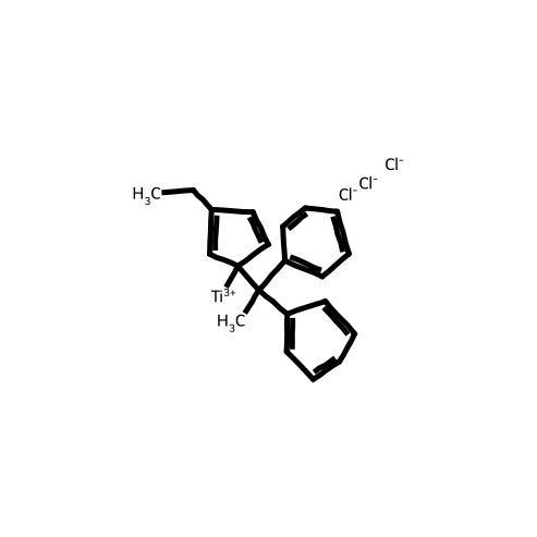 CCC1=C[C]([Ti+3])(C(C)(c2ccccc2)c2ccccc2)C=C1.[Cl-].[Cl-].[Cl-]